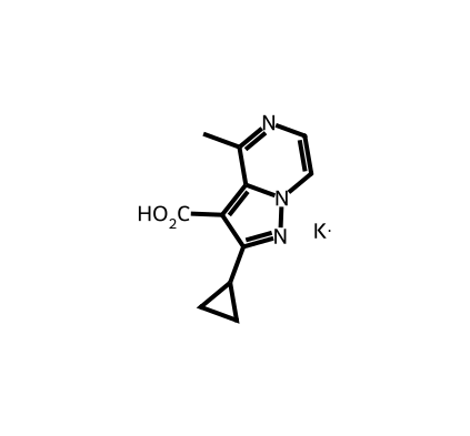 Cc1nccn2nc(C3CC3)c(C(=O)O)c12.[K]